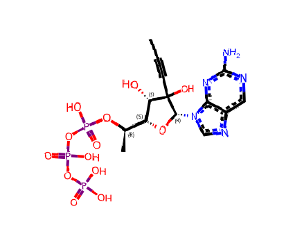 CC#CC1(O)[C@@H](O)[C@@H]([C@@H](C)OP(=O)(O)OP(=O)(O)OP(=O)(O)O)O[C@H]1n1cnc2cnc(N)nc21